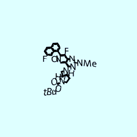 CNc1nc(N2C[C@@H]3[C@H]2CCN3C(=O)OC(C)(C)C)c2cnc(-c3cccc4ccc(F)c(Cl)c34)c(F)c2n1